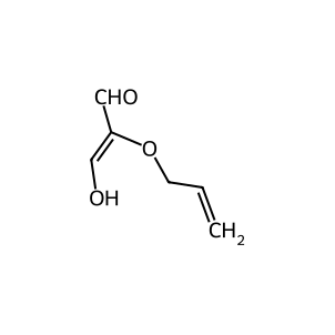 C=CCOC(C=O)=CO